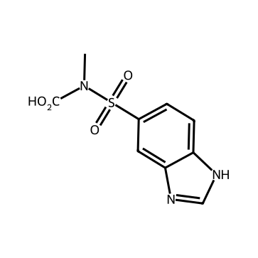 CN(C(=O)O)S(=O)(=O)c1ccc2[nH]cnc2c1